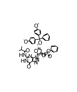 COc1ccc(C(OC[C@@H]2C[C@H](O[PH](=O)Oc3ccccc3)[C@H](n3nnc4c(=O)[nH]c(NC(=O)C(C)C)nc43)O2)(c2ccccc2)c2ccc(OC)cc2)cc1